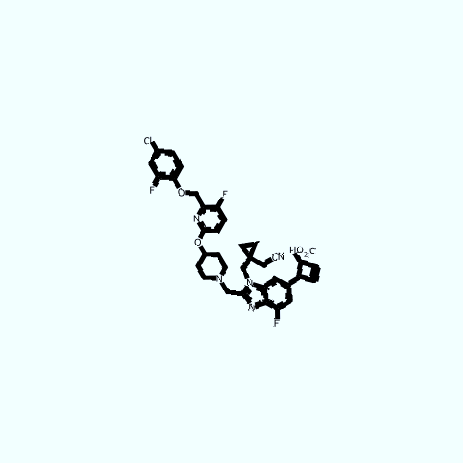 N#CCC1(Cn2c(CN3CCC(Oc4ccc(F)c(COc5ccc(Cl)cc5F)n4)CC3)nc3c(F)cc(C4C#CC4C(=O)O)cc32)CC1